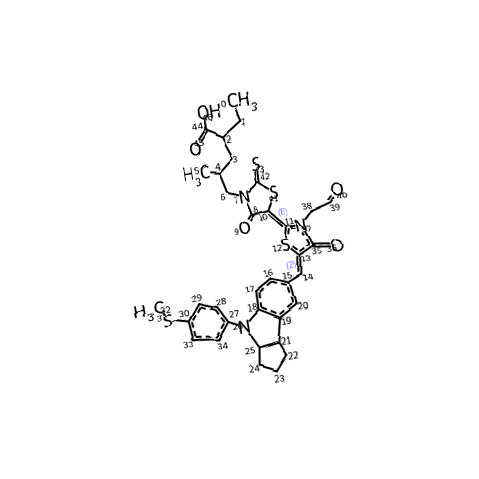 CCC(CC(C)CN1C(=O)/C(=c2\s/c(=C\c3ccc4c(c3)C3CCCC3N4c3ccc(SC)cc3)c(=O)n2CC=O)SC1=S)C(=O)O